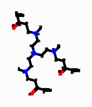 COC(=O)CCN(C)CCN(CCN(C)CCC(=O)OC)CCN(C)CCC(=O)OC